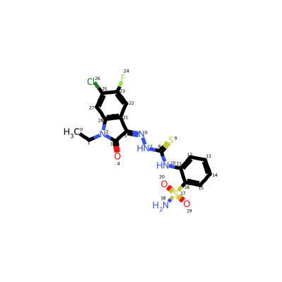 CCN1C(=O)C(=NNC(=S)Nc2ccccc2S(N)(=O)=O)c2cc(F)c(Cl)cc21